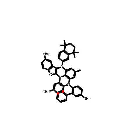 Cc1cc2c3c(c1)N(c1ccc4c(c1)C(C)(C)CCC4(C)C)c1c(oc4ccc(C(C)(C)C)cc14)B3c1cc(C(C)(C)C)ccc1N2c1ccc(C(C)(C)C)cc1-c1ccccc1